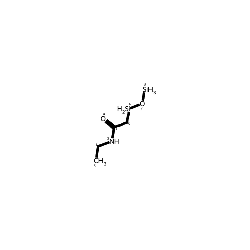 CCNC(=O)C[SiH2]O[SiH3]